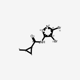 CC1CC1C(=O)Nc1snc(Br)c1Br